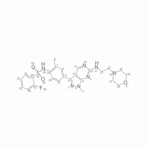 Cc1cc(-c2nn(C)c3nc(NCCN4CCOCC4)ncc23)ccc1NS(=O)(=O)c1ccccc1F